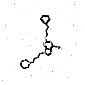 Nc1nc(OCCCc2ccccc2)nc2c1ncn2CCCCN1CCCCC1